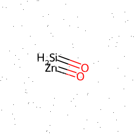 O=[SiH2].[O]=[Zn]